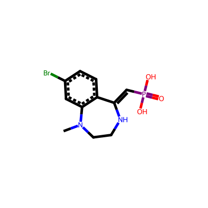 CN1CCN/C(=C\P(=O)(O)O)c2ccc(Br)cc21